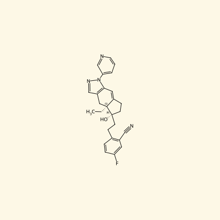 CC[C@]12Cc3cnn(-c4cccnc4)c3C=C1CC[C@@]2(O)CCc1ccc(F)cc1C#N